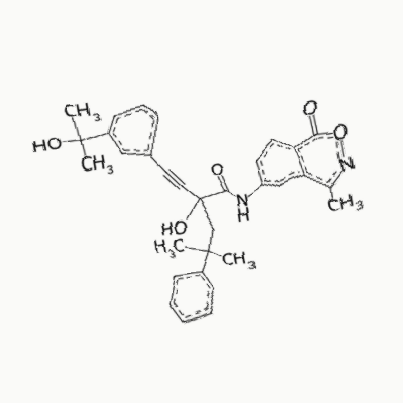 Cc1noc(=O)c2ccc(NC(=O)C(O)(C#Cc3cccc(C(C)(C)O)c3)CC(C)(C)c3ccccc3)cc12